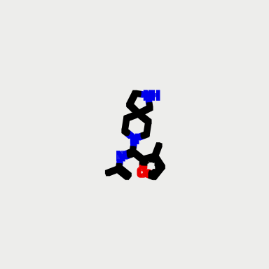 C=C(C)/N=C(\c1occc1C)N1CCC2(CCNC2)CC1